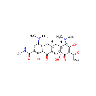 CNC(=O)C1=C(O)[C@H](N(C)C)[C@@H]2C[C@@H]3Cc4c(N(C)C)cc(C(=O)NC(C)(C)C)c(O)c4C(=O)C3=C(O)[C@]2(O)C1=O